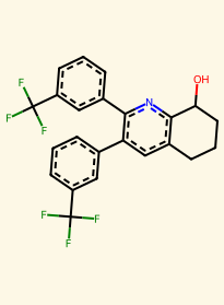 OC1CCCc2cc(-c3cccc(C(F)(F)F)c3)c(-c3cccc(C(F)(F)F)c3)nc21